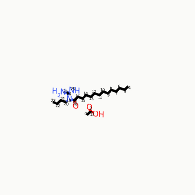 CC(=O)O.CCCCCCCCCCCCCC(=O)N(CCCC)C(=N)N